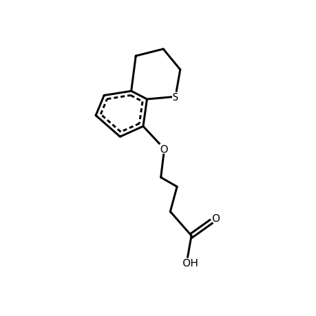 O=C(O)CCCOc1cccc2c1SCCC2